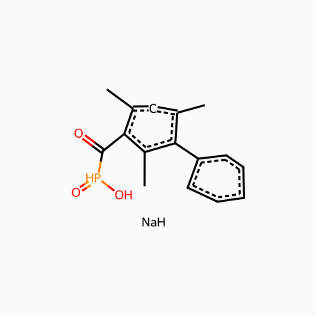 Cc1cc(C)c(-c2ccccc2)c(C)c1C(=O)[PH](=O)O.[NaH]